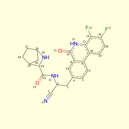 N#CC(Cc1ccc2c(c1)c(=O)[nH]c1c(F)c(F)ccc12)NC(=O)C1NC2CCC1C2